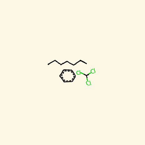 CCCCCCC.ClC(Cl)Cl.c1ccccc1